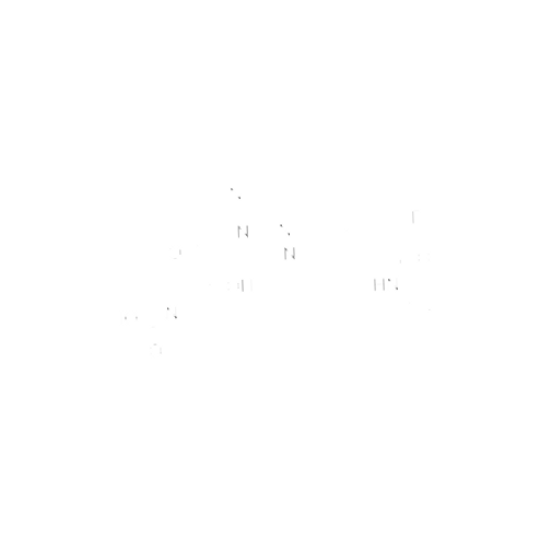 CCOc1cc2ncc(-n3cc(-c4cc(C(=O)NC5CC5)c(F)cc4C)cn3)n2cc1C1(O)CCN(C(=O)O)CC1